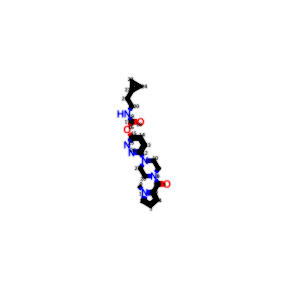 Cn1cccc1C(=O)N1CCN(c2ccc(OC(=O)NCCC3CC3)nn2)CC1